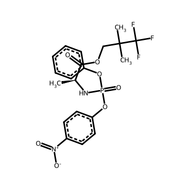 C[C@H](NP(=O)(Oc1ccccc1)Oc1ccc([N+](=O)[O-])cc1)C(=O)OCC(C)(C)C(F)(F)F